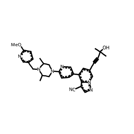 COc1ccc(CN2C(C)CN(c3ccc(-c4cc(C#CC(C)(C)O)cn5ncc(C#N)c45)cn3)CC2C)cn1